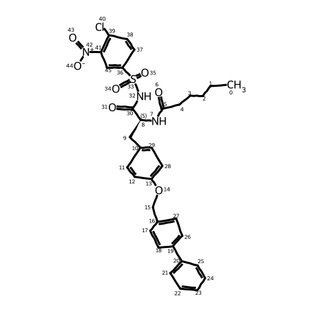 CCCCCC(=O)N[C@@H](Cc1ccc(OCc2ccc(-c3ccccc3)cc2)cc1)C(=O)NS(=O)(=O)c1ccc(Cl)c([N+](=O)[O-])c1